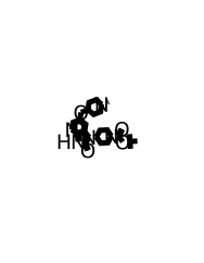 CN1CCC(Oc2cnc3[nH]c(=O)n(C4CCN(C(=O)OC(C)(C)C)CC4)c3c2)CC1